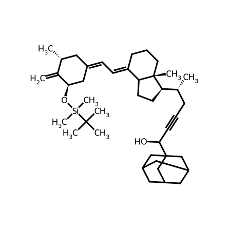 C=C1[C@H](C)C/C(=C/C=C2\CCC[C@@]3(C)C2CC[C@@H]3[C@H](C)CC#CC(O)C23CC4CC(CC(C4)C2)C3)C[C@H]1O[Si](C)(C)C(C)(C)C